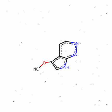 N#COc1c[nH]c2nnccc12